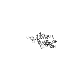 C[C@H](Cc1ccc2[nH]c(C(=O)NCc3ccc(Cl)cc3Cl)cc2c1)NC[C@H](O[Si](C)(C)C(C)(C)C)c1ccc(O)c(CO)c1